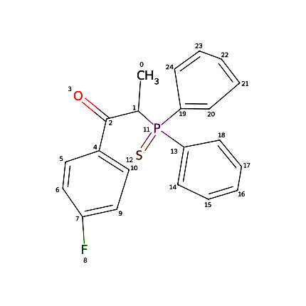 CC(C(=O)c1ccc(F)cc1)P(=S)(c1ccccc1)c1ccccc1